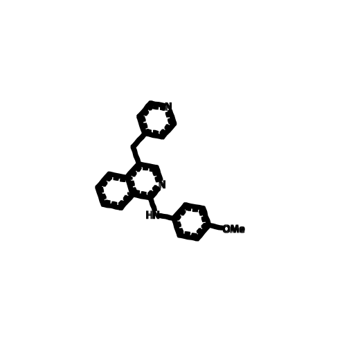 COc1ccc(Nc2ncc(Cc3ccncc3)c3ccccc23)cc1